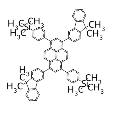 CC1(C)c2ccccc2-c2cc(-c3cc(-c4ccc([Si](C)(C)C)cc4)c4ccc5c(-c6ccc7c(c6)-c6ccccc6C7(C)C)cc(-c6ccc([Si](C)(C)C)cc6)c6ccc3c4c65)ccc21